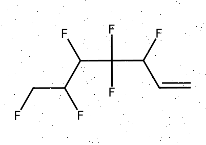 C=CC(F)C(F)(F)C(F)C(F)CF